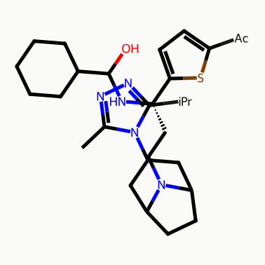 CC(=O)c1ccc([C@H](CCN2C3CCC2CC(n2c(C)nnc2C(C)C)C3)NC(O)C2CCCCC2)s1